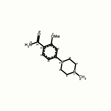 COc1cc(N2CCN(C)CC2)ccc1C(N)=O